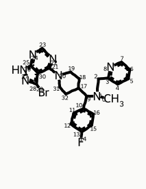 CN(Cc1ccccn1)C(c1ccc(F)cc1)C1CCN(c2ncnc3[nH]nc(Br)c23)CC1